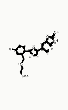 COCCOCc1cc(F)ccc1-c1nc(-c2ccc3[nH]c(=O)oc3c2)cs1